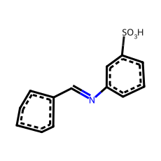 O=S(=O)(O)c1cccc(N=Cc2ccccc2)c1